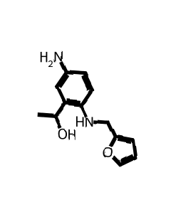 CC(O)c1cc(N)ccc1NCc1ccco1